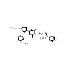 COc1ccc(Oc2cc(-c3cc(C)c(OCCN[C@H](C)[C@H](O)c4ccc(O)cc4)c(C)c3)ccc2C(=O)O)cc1